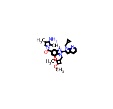 COc1cc(C(=O)N2C[C@@H](C)C(N)C2C)cc2nc(-c3cc4cccnc4n3CC3CC3)n(CC3CC(OC)C3)c12